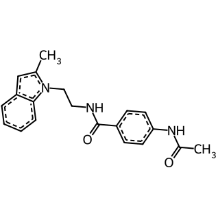 CC(=O)Nc1ccc(C(=O)NCCn2c(C)cc3ccccc32)cc1